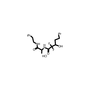 CC(C)CCNC(=O)C(C)NC(=O)C(F)(F)C(O)CCC(C)C.Cl